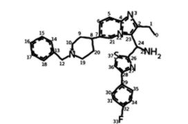 CCc1nc2ccc(C3CCN(Cc4ccccc4)CC3)cn2c1C(N)c1nc(-c2ccc(F)cc2)cs1